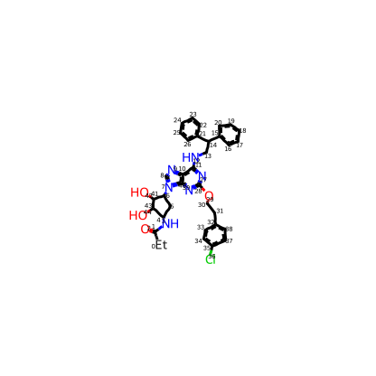 CCC(=O)NC1CC(n2cnc3c(NCC(c4ccccc4)c4ccccc4)nc(OCCc4ccc(Cl)cc4)nc32)C(O)C1O